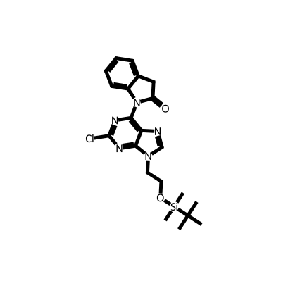 CC(C)(C)[Si](C)(C)OCCn1cnc2c(N3C(=O)Cc4ccccc43)nc(Cl)nc21